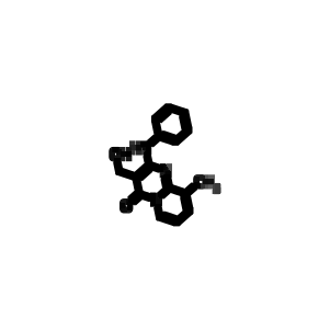 Cc1cccn2c(=O)c(CO)c(Nc3ccccc3)nc12